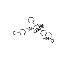 O=C(NCc1ccc(Cl)cc1)C(NS(=O)(=O)c1ccc2[nH]c(=O)ccc2c1)c1ccccc1